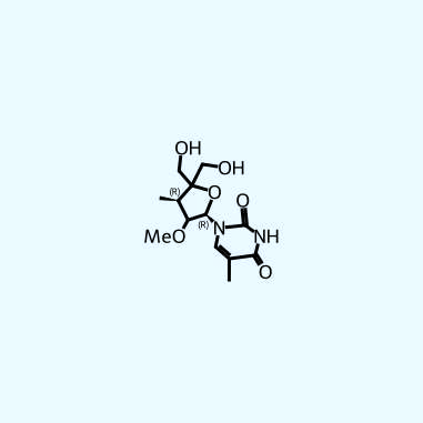 COC1[C@H](n2cc(C)c(=O)[nH]c2=O)OC(CO)(CO)[C@@H]1C